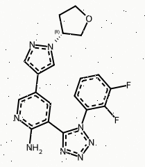 Nc1ncc(-c2cnn([C@@H]3CCOC3)c2)cc1-c1nnnn1-c1cccc(F)c1F